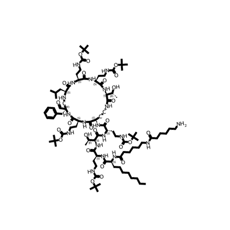 CCCCCCCC[C@H](NC(=O)CCCCCNC(=O)CCCCCN)C(=O)N[C@@H](CCNC(=O)OC(C)(C)C)C(=O)N[C@H](C(=O)N[C@@H](CCNC(=O)OC(C)(C)C)C(=O)N[C@H]1CCNC(=O)[C@H]([C@@H](C)O)NC(=O)[C@H](CCNC(=O)OC(C)(C)C)NC(=O)[C@H](CCNC(=O)OC(C)(C)C)NC(=O)[C@H](CC(C)C)NC[C@@](C=O)(Cc2ccccc2)NC(=O)[C@H](CCNC(=O)OC(C)(C)C)NC1=O)[C@@H](C)O